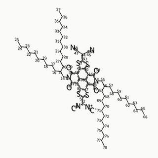 [C-]#[N+]C([N+]#[C-])=c1sc2c(s1)c1c(=O)n(CC(CCCCCCCCCC)CCCCCCCCCCCC)c(=O)c3c4sc(=C(C#N)C#N)sc4c4c(=O)n(CC(CCCCCCCCCC)CCCCCCCCCCCC)c(=O)c2c4c31